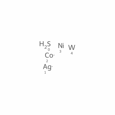 S.[Ag].[Co].[Ni].[W]